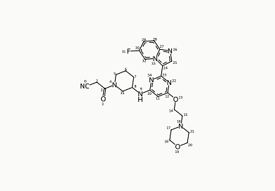 N#CCC(=O)N1CCCC(Nc2cc(OCCN3CCOCC3)nc(-c3cnc4ccc(F)cn34)n2)C1